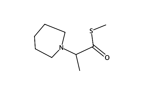 CSC(=O)C(C)N1CCCCC1